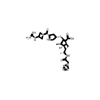 C[C@@H](NC(=O)Cn1cnnn1)[C@H]1CC2C(C(=O)O)=C(S[C@@H]3CN[C@H](C(=O)N4CC(NC(=N)N)C4)C3)[C@H](C)[C@@H]21